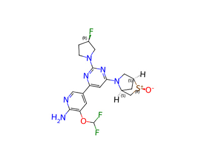 Nc1ncc(-c2cc(N3C[C@@H]4C[C@H]3C[S@+]4[O-])nc(N3CC[C@@H](F)C3)n2)cc1OC(F)F